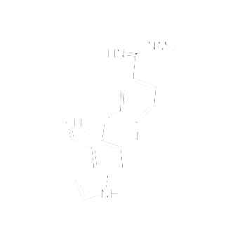 C=Cc1c(Oc2cccc(C(=N)NC)c2)c(F)cc2[nH]ccc12